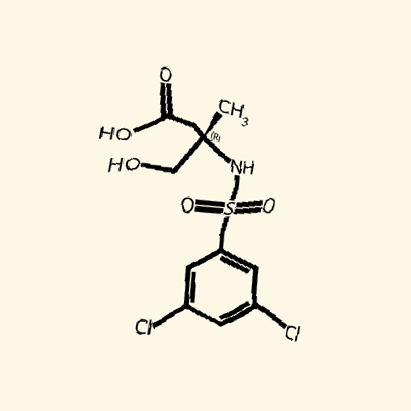 C[C@](CO)(NS(=O)(=O)c1cc(Cl)cc(Cl)c1)C(=O)O